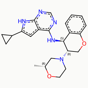 C[C@@H]1CN([C@H]2COc3ccccc3[C@@H]2Nc2ncnc3[nH]c(C4CC4)cc23)CCO1